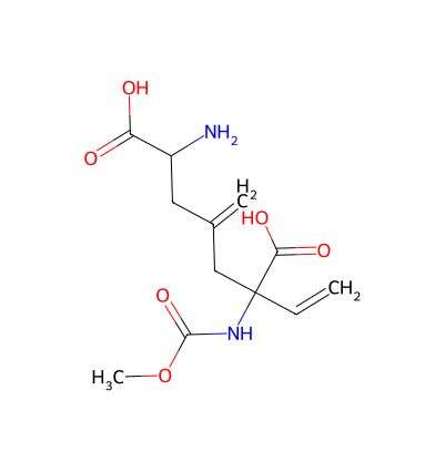 C=CC(CC(=C)CC(N)C(=O)O)(NC(=O)OC)C(=O)O